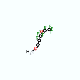 CCCOCc1ccc(-c2ccc(-c3cc(F)c(C(F)(F)Oc4ccc(-c5cc(F)c(F)c(F)c5)c(F)c4)c(F)c3)c(F)c2)cc1